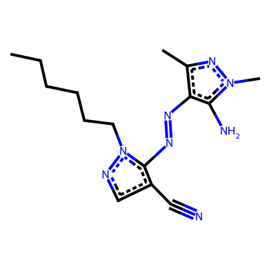 CCCCCCn1ncc(C#N)c1N=Nc1c(C)nn(C)c1N